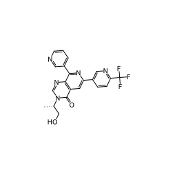 C[C@@H](CO)n1cnc2c(-c3cccnc3)nc(-c3ccc(C(F)(F)F)nc3)cc2c1=O